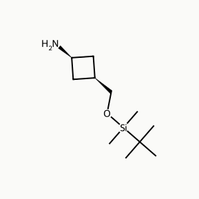 CC(C)(C)[Si](C)(C)OC[C@H]1C[C@@H](N)C1